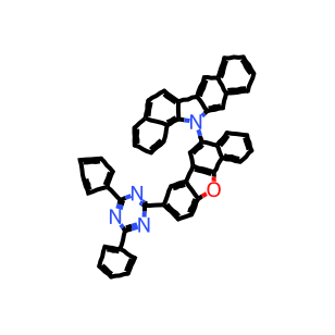 c1ccc(-c2nc(-c3ccccc3)nc(-c3ccc4oc5c6ccccc6c(-n6c7cc8ccccc8cc7c7ccc8ccccc8c76)cc5c4c3)n2)cc1